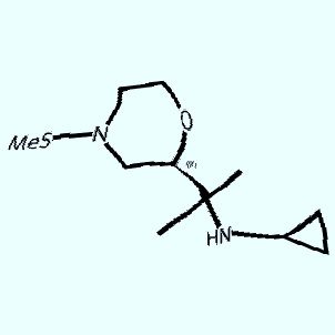 CSN1CCO[C@@H](C(C)(C)NC2CC2)C1